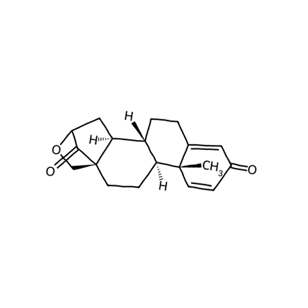 C[C@]12C=CC(=O)C=C1CC[C@H]1[C@@H]3CC4OC[C@@]3(CC[C@@H]12)C4=O